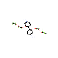 Nc1ccc(-c2ccc(N)cc2OC(F)(F)C(F)OC(F)(F)C(F)(F)C(F)(F)F)c(OC(F)(F)C(F)OC(F)(F)C(F)(F)C(F)(F)F)c1